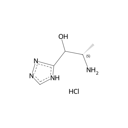 C[C@H](N)C(O)c1nnc[nH]1.Cl